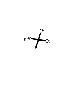 CCCC(C)([O])CC